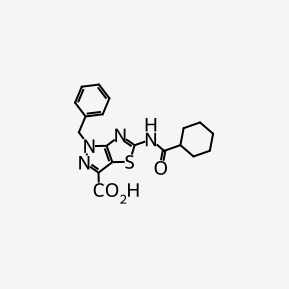 O=C(O)c1nn(Cc2ccccc2)c2nc(NC(=O)C3CCCCC3)sc12